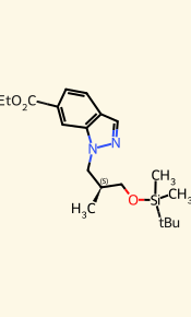 CCOC(=O)c1ccc2cnn(C[C@H](C)CO[Si](C)(C)C(C)(C)C)c2c1